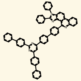 c1ccc(-c2ccc(-c3cc(-c4ccc(-c5ccc(-c6nc7ccccc7c7ccc8c(nc(-c9ccccc9)n8-c8ccccc8)c67)cc5)cc4)nc(-c4ccc(-c5ccccc5)cc4)n3)cc2)cc1